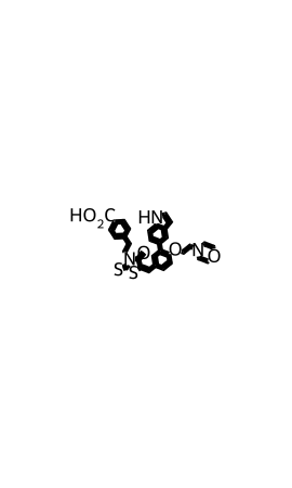 O=C(O)c1ccc(CCN2C(=O)C(=Cc3ccc(OCCN4CCOCC4)c(-c4ccc5[nH]ccc5c4)c3)SC2=S)cc1